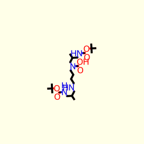 CC(CNCCCCN(CC(C)CNC(=O)OC(C)(C)C)C(=O)O)CNC(=O)OC(C)(C)C